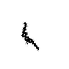 CCCCCCCCC1CCC(C2(C#N)CCC(C3CCC(CCCCCCC)CC3)CC2)CC1